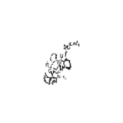 CC(NC(=O)c1c(N)nn2cccnc12)c1nc2cccc(C#Cc3cnn(C)c3)c2c(=O)n1C1CCCCC1